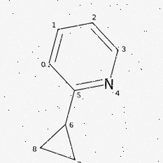 [c]1cccnc1C1CC1